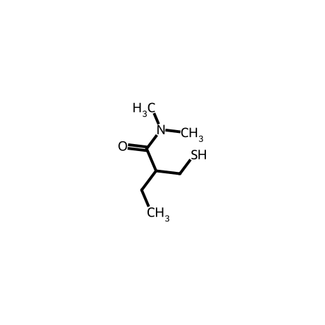 CCC(CS)C(=O)N(C)C